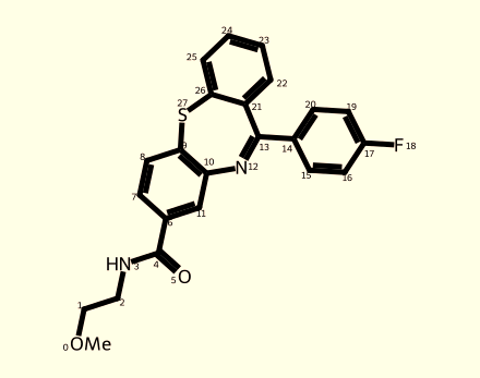 COCCNC(=O)c1ccc2c(c1)N=C(c1ccc(F)cc1)c1ccccc1S2